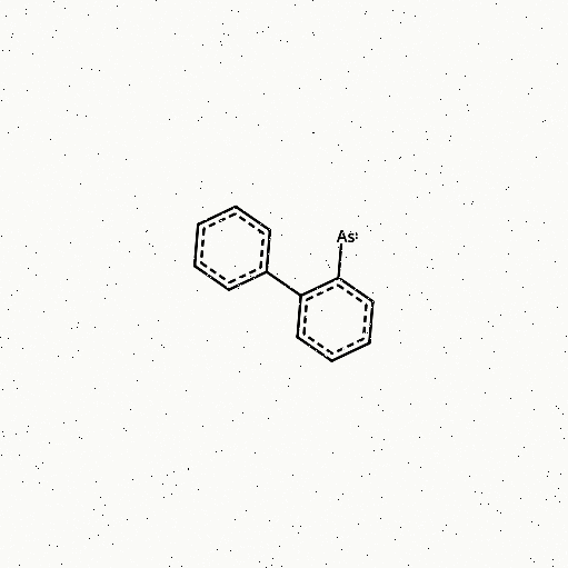 [As]c1ccccc1-c1ccccc1